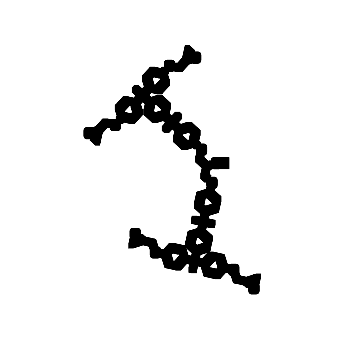 CC(C)(c1ccc(OCC(O)COc2ccc(C(C)(C)c3ccc(C(C)(c4ccc(OCC5CO5)cc4)c4ccc(OCC5CO5)cc4)cc3)cc2)cc1)c1ccc(C(C)(c2ccc(OCC3CO3)cc2)c2ccc(OCC3CO3)cc2)cc1